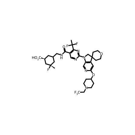 CC(F)(F)c1nc(N2CC3(CCOCC3)c3cc(OC4CCN(CC(F)(F)F)CC4)ncc32)ncc1C(=O)NCC1C[C@H](C(=O)O)C[C@@](C)(F)C1